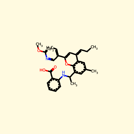 C=C(/N=C\C(=C/C)C1=C/C(=C/CC)c2cc(C)cc(C(C)Nc3ccccc3C(=O)O)c2O1)OC